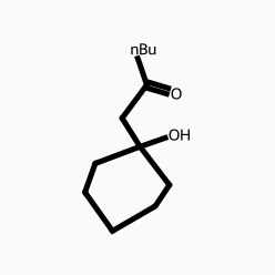 CCCCC(=O)CC1(O)CCCCC1